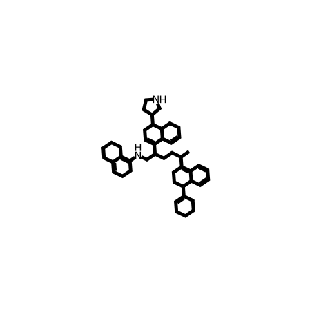 CC(CCC(CNC1=C2CCCCC2=CCC1)C1=CCC(C2CCNC2)C2CCC=CC12)C1=C2C=CC=CC2C(C2=CCCCC2)CC1